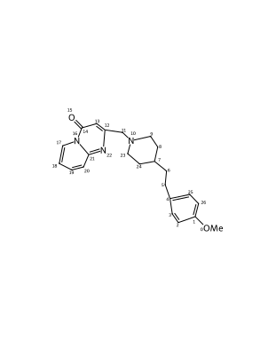 COc1ccc(CCC2CCN(Cc3cc(=O)n4ccccc4n3)CC2)cc1